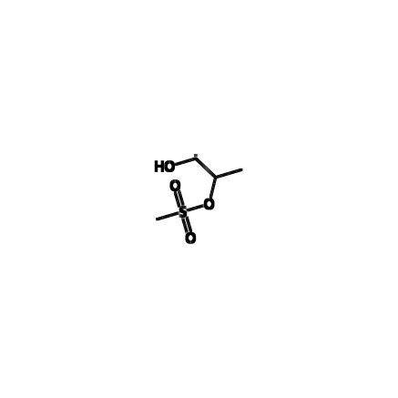 CC([CH]O)OS(C)(=O)=O